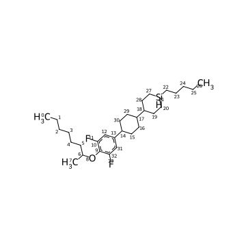 CCCCCCC(C)Oc1c(F)cc(C2CCC(C3CC[SiH](CCCCC)CC3)CC2)cc1F